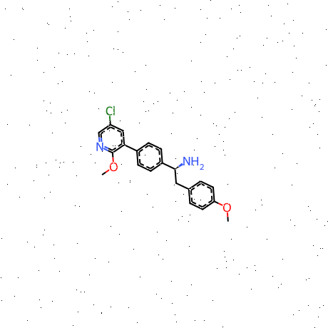 COc1ccc(C[C@H](N)c2ccc(-c3cc(Cl)cnc3OC)cc2)cc1